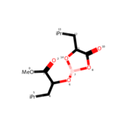 COC(=O)C(CC(C)C)OB1OC(=O)C(CC(C)C)O1